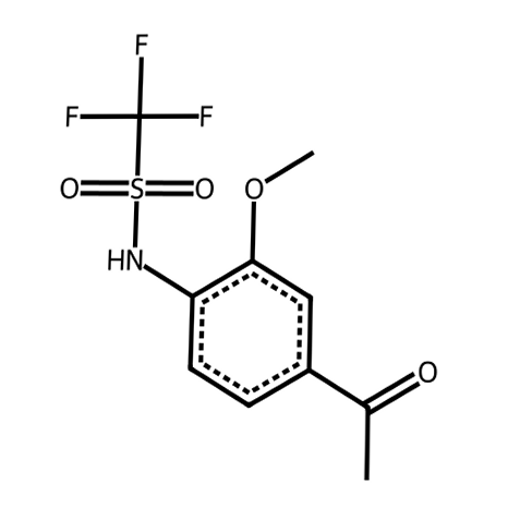 COc1cc(C(C)=O)ccc1NS(=O)(=O)C(F)(F)F